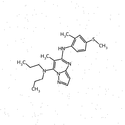 CCCN(CCC)c1c(C)c(Nc2ccc(SC)cc2C)nc2ccnn12